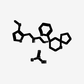 COc1ccsc1CNCC[C@@]1(c2ccccn2)CCOC2(CCCC2)C1.O=[N+]([O-])O